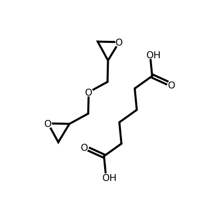 C(OCC1CO1)C1CO1.O=C(O)CCCCC(=O)O